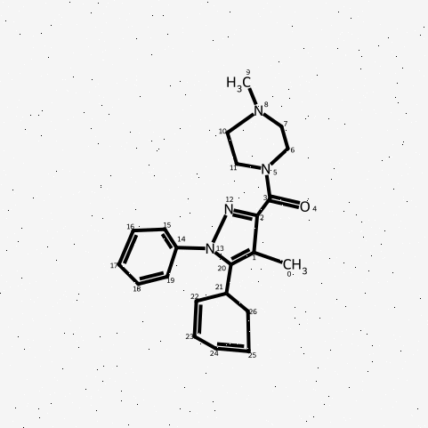 Cc1c(C(=O)N2CCN(C)CC2)nn(-c2ccccc2)c1C1C=CC=CC1